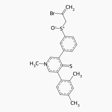 C=C(Br)C[S+]([O-])c1cccc(-c2cn(C)cc(-c3ccc(C)cc3C)c2=S)c1